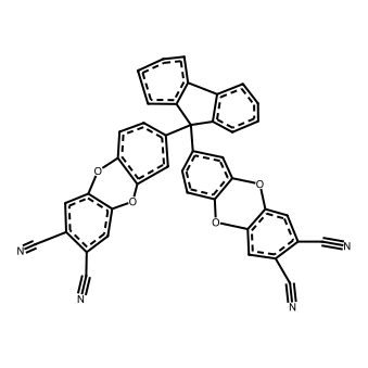 N#Cc1cc2c(cc1C#N)Oc1cc(C3(c4ccc5c(c4)Oc4cc(C#N)c(C#N)cc4O5)c4ccccc4-c4ccccc43)ccc1O2